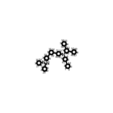 c1ccc(-c2ccc(N(c3ccc(-c4cccc(-c5ccc6c(c5)nc(-c5ccccc5)n6-c5ccccc5)c4)cc3)c3cc(-c4ccccc4)cc(-c4ccccc4)c3)cc2)cc1